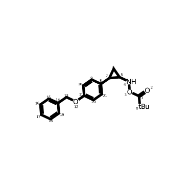 CC(C)(C)C(=O)ONC1CC1c1ccc(OCc2ccccc2)cc1